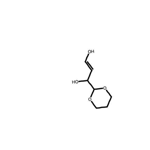 OC=CC(O)C1OCCCO1